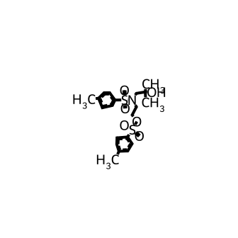 Cc1ccc(S(=O)(=O)OCCN(CC(C)(C)O)S(=O)(=O)c2ccc(C)cc2)cc1